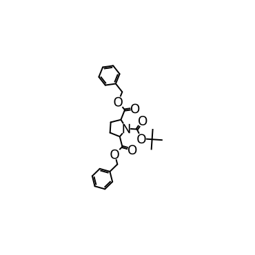 CC(C)(C)OC(=O)N1C(C(=O)OCc2ccccc2)CCC1C(=O)OCc1ccccc1